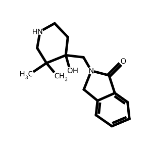 CC1(C)CNCCC1(O)CN1Cc2ccccc2C1=O